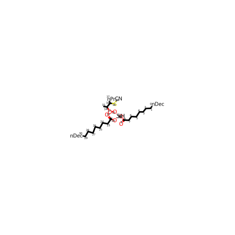 CCCCCCCCCCCCCCCCCC(=O)O[SiH](OOC(C)C(CCC)SC#N)OC(=O)CCCCCCCCCCCCCCCCC